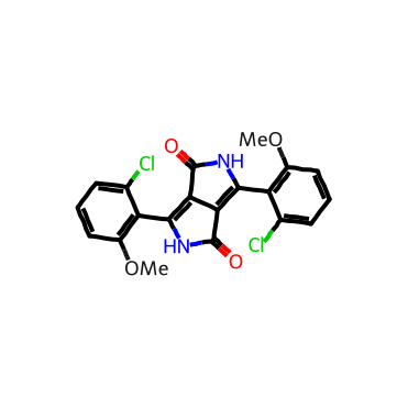 COc1cccc(Cl)c1C1=C2C(=O)NC(c3c(Cl)cccc3OC)=C2C(=O)N1